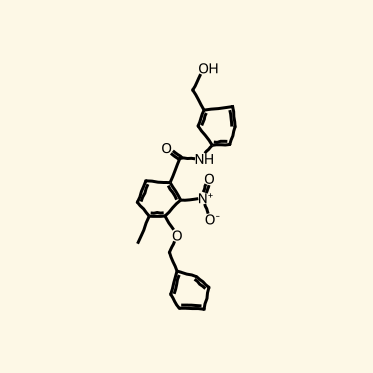 Cc1ccc(C(=O)Nc2cccc(CO)c2)c([N+](=O)[O-])c1OCc1ccccc1